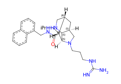 CC(C)C[C@@H]1[C@@H]2CN[C@@]3(C(=O)NCc4cccc5ccccc45)[C@@H](C2)CN(CCCNC(=N)N)[C@@H]13